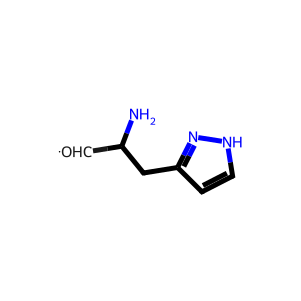 NC([C]=O)Cc1cc[nH]n1